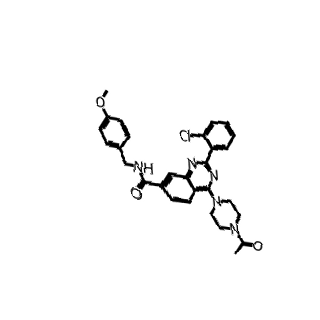 COc1ccc(CNC(=O)c2ccc3c(N4CCN(C(C)=O)CC4)nc(-c4ccccc4Cl)nc3c2)cc1